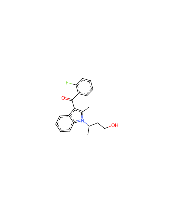 Cc1c(C(=O)c2ccccc2F)c2ccccc2n1C(C)CCO